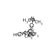 Cc1cnn(C)c1C1CCN(c2cc(N3C[C@H](N4CCNCC4)[C@@H]3C)c(C#N)c(C(F)(F)F)n2)CC1.Cl